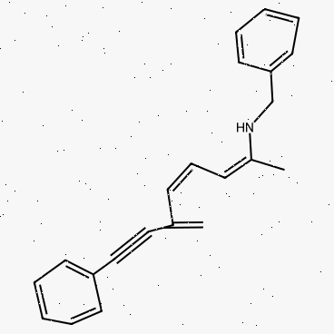 C=C(C#Cc1ccccc1)/C=C\C=C(\C)NCc1ccccc1